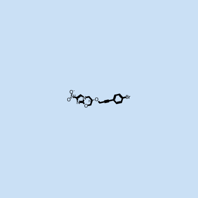 O=[N+]([O-])c1cn2c(n1)OC[C@@H](OCC#Cc1ccc(Br)cc1)C2